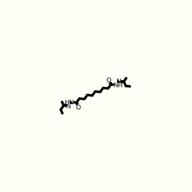 CCC(C)=NNC(=O)CCCCCCCCC(=O)NN=C(C)CC